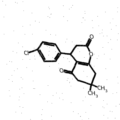 CC1(C)CC(=O)C2=C(C1)OC(=O)CC2c1ccc(Cl)cc1